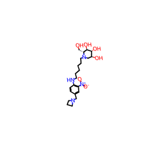 O=[N+]([O-])c1cc(CN2CCC2)ccc1NCCCCCCN1C[C@H](O)[C@@H](O)[C@H](O)[C@H]1CO